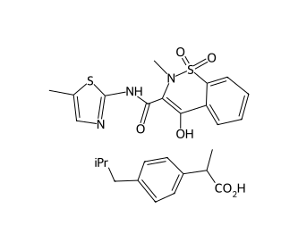 CC(C)Cc1ccc(C(C)C(=O)O)cc1.Cc1cnc(NC(=O)C2=C(O)c3ccccc3S(=O)(=O)N2C)s1